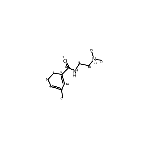 CC1=CCCC(C(=O)NCCN(C)C)=C1